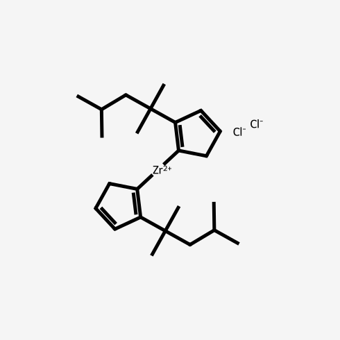 CC(C)CC(C)(C)C1=[C]([Zr+2][C]2=C(C(C)(C)CC(C)C)C=CC2)CC=C1.[Cl-].[Cl-]